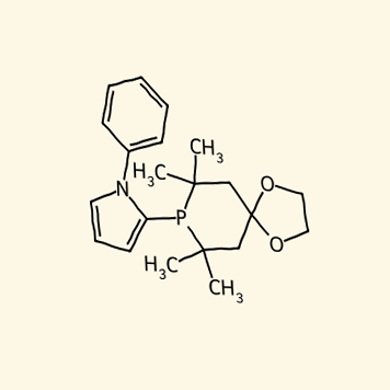 CC1(C)CC2(CC(C)(C)P1c1cccn1-c1ccccc1)OCCO2